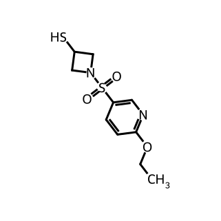 CCOc1ccc(S(=O)(=O)N2CC(S)C2)cn1